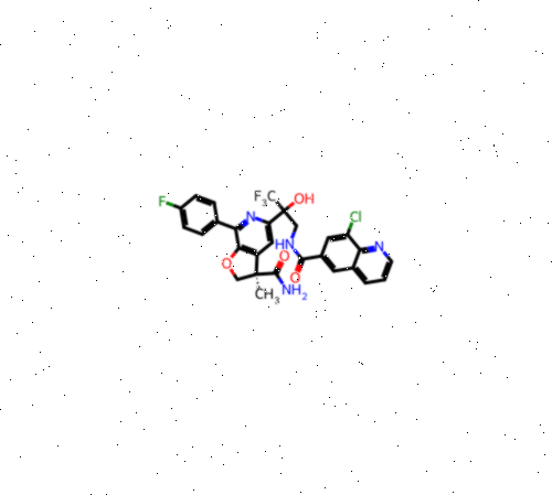 C[C@]1(C(N)=O)COc2c1cc(C(O)(CNC(=O)c1cc(Cl)c3ncccc3c1)C(F)(F)F)nc2-c1ccc(F)cc1